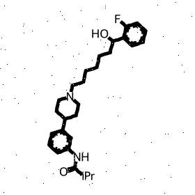 CC(C)C(=O)Nc1cccc(C2CCN(CCCCCCC(O)c3ccccc3F)CC2)c1